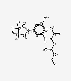 CCOC(=O)CCC(C)Oc1c(F)cc(B2OC(C)(C)C(C)(C)O2)cc1F